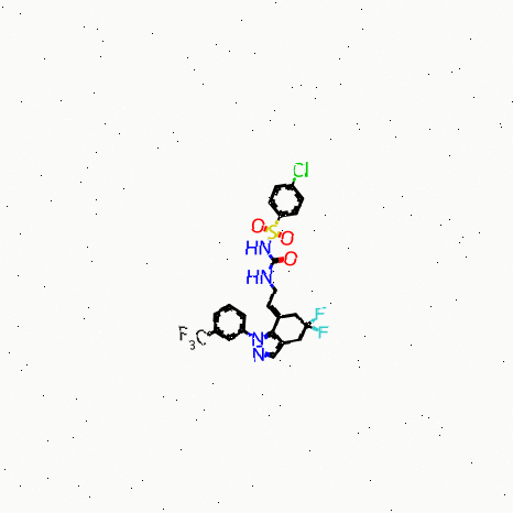 O=C(NCC=C1CC(F)(F)Cc2cnn(-c3cccc(C(F)(F)F)c3)c21)NS(=O)(=O)c1ccc(Cl)cc1